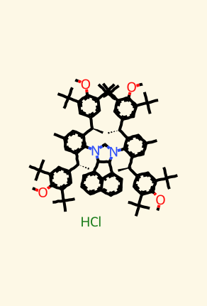 COc1c(C(C)(C)C)cc([C@@H](C)c2cc(C)cc([C@H](C)c3cc(C(C)(C)C)c(OC)c(C(C)(C)C)c3)c2N2CN(c3c([C@H](C)c4cc(C(C)(C)C)c(OC)c(C(C)(C)C)c4)cc(C)cc3[C@H](C)c3cc(C(C)(C)C)c(OC)c(C(C)(C)C)c3)C3c4cccc5cccc(c45)C32)cc1C(C)(C)C.Cl